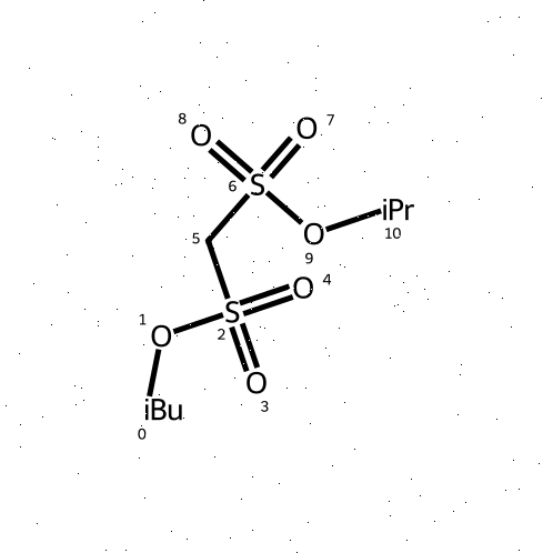 CCC(C)OS(=O)(=O)CS(=O)(=O)OC(C)C